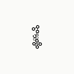 C=CC1=C(C(=C)N(C)c2ccc(-c3ccccc3-c3ccccc3)cc2)Oc2cc3c(cc2O1)C1(c2ccccc2-c2ccccc21)c1ccccc1-3